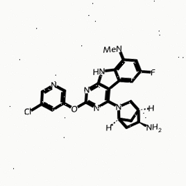 CNc1cc(F)cc2c1[nH]c1nc(Oc3cncc(Cl)c3)nc(N3C[C@@H]4C[C@H]3C[C@@H]4N)c12